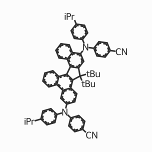 CC(C)c1ccc(N(c2ccc(C#N)cc2)c2ccc3c4c(c5ccccc5c3c2)-c2c(cc(N(c3ccc(C#N)cc3)c3ccc(C(C)C)cc3)c3ccccc23)C4(C(C)(C)C)C(C)(C)C)cc1